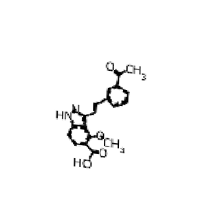 COc1c(C(=O)O)ccc2[nH]nc(C=Cc3cccc(C(C)=O)c3)c12